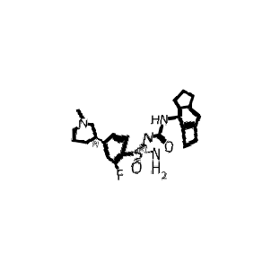 CN1CCC[C@H](c2ccc([S@](N)(=O)=NC(=O)Nc3c4c(cc5c3CC5)CCC4)c(F)c2)C1